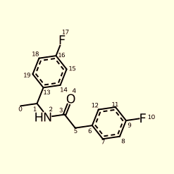 CC(NC(=O)Cc1ccc(F)cc1)c1ccc(F)cc1